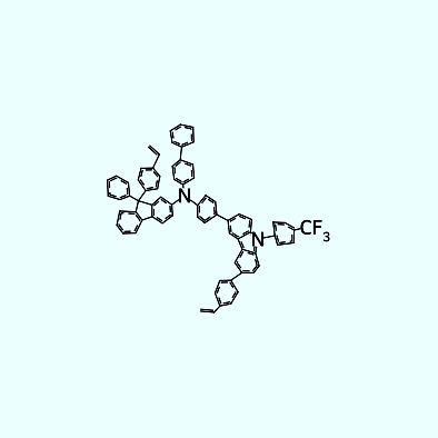 C=Cc1ccc(-c2ccc3c(c2)c2cc(-c4ccc(N(c5ccc(-c6ccccc6)cc5)c5ccc6c(c5)C(c5ccccc5)(c5ccc(C=C)cc5)c5ccccc5-6)cc4)ccc2n3-c2ccc(C(F)(F)F)cc2)cc1